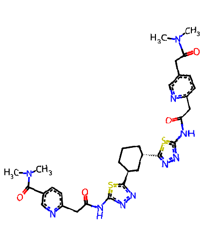 CN(C)C(=O)Cc1ccc(CC(=O)Nc2nnc([C@H]3CCC[C@H](c4nnc(NC(=O)Cc5ccc(C(=O)N(C)C)cn5)s4)C3)s2)nc1